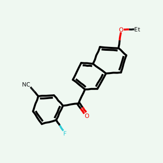 CCOc1ccc2cc(C(=O)c3cc(C#N)ccc3F)ccc2c1